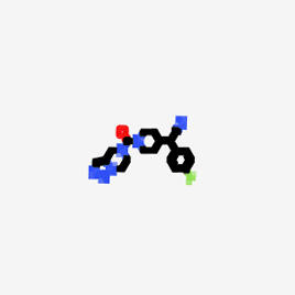 N#CC(=C1CCN(C(=O)N2CCn3nncc3C2)CC1)c1ccc(F)cc1